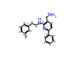 NCc1ccc(-c2ccccc2)nc1NCCc1cccc(F)c1